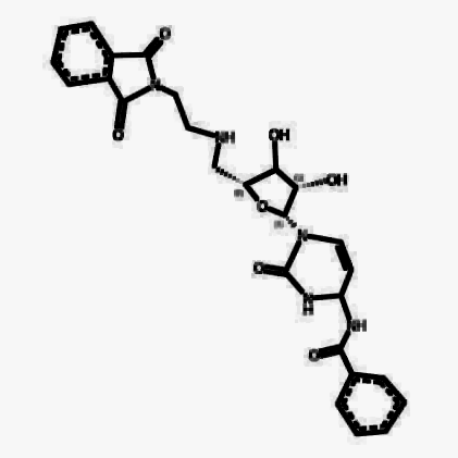 O=C(NC1C=CN([C@@H]2O[C@H](CNCCN3C(=O)c4ccccc4C3=O)C(O)[C@@H]2O)C(=O)N1)c1ccccc1